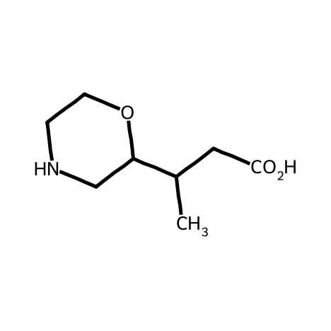 CC(CC(=O)O)C1CNCCO1